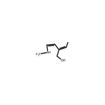 C/C=C(\C=C/NC(F)(F)F)CO